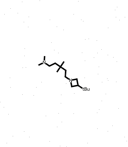 CN(C)CCC(C)(C)CCN1CC(C(C)(C)C)C1